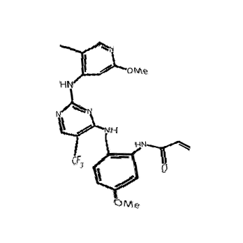 C=CC(=O)Nc1cc(OC)ccc1Nc1nc(Nc2cc(OC)ncc2C)ncc1C(F)(F)F